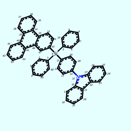 c1ccc([Si](c2ccccc2)(c2ccc(-n3c4ccccc4c4ccccc43)cc2)c2ccc3c4ccccc4c4ccccc4c3c2)cc1